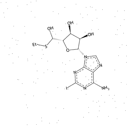 CCSC(O)[C@H]1O[C@@H](n2cnc3c(N)nc(I)nc32)[C@H](O)[C@@H]1O